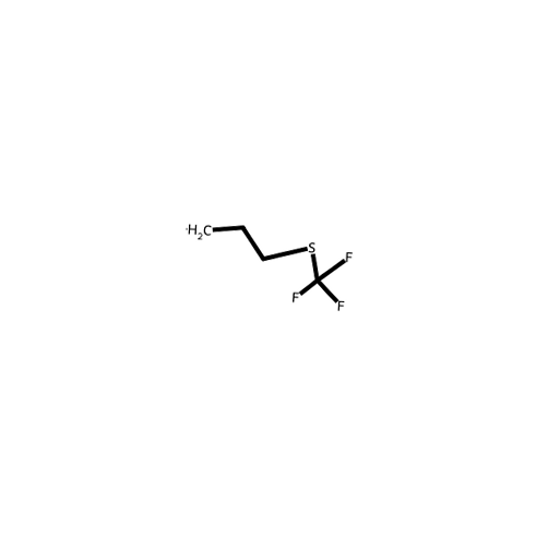 [CH2]CCSC(F)(F)F